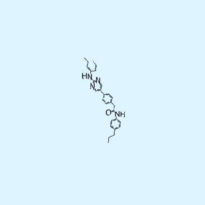 C/C=C\C(=C/CC)Nc1ncc(-c2ccc(CC(=O)Nc3ccc(CCC)cc3)cc2)cn1